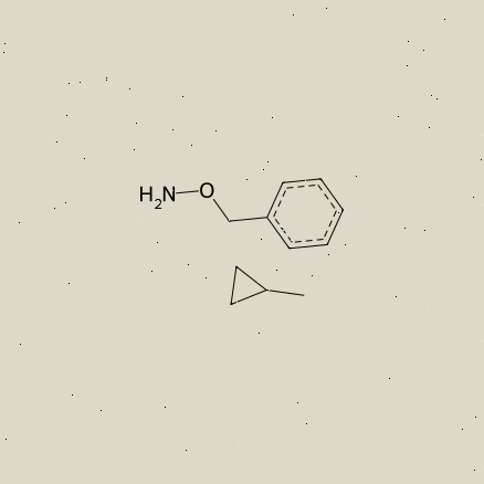 CC1CC1.NOCc1ccccc1